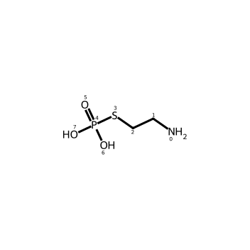 NCCSP(=O)(O)O